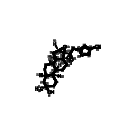 C[C@@]1(O)CC[C@H]2[C@H](CC[C@@H]3[C@@H]2CC[C@@]2(C)[C@H]3C[C@H]3O[C@]32C(=O)Cn2cc(C#N)cn2)C1